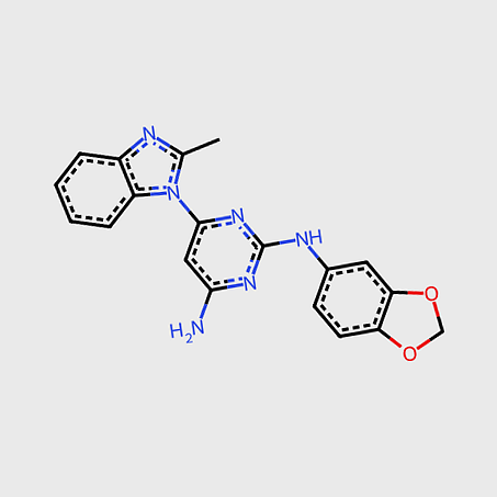 Cc1nc2ccccc2n1-c1cc(N)nc(Nc2ccc3c(c2)OCO3)n1